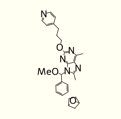 C1CC2CC1O2.COC(c1ccccc1)n1c(C)nc2c(C)nc(OCCCc3ccncc3)nc21